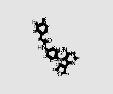 Cc1ccc(CC(=O)Nc2ccc(-n3c4c(c5ncnc(N)c53)COC4)cc2)cc1F